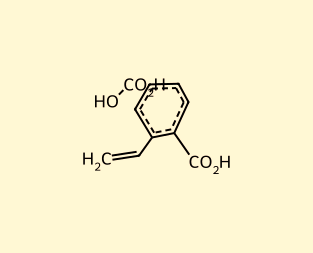 C=Cc1ccccc1C(=O)O.O=C(O)O